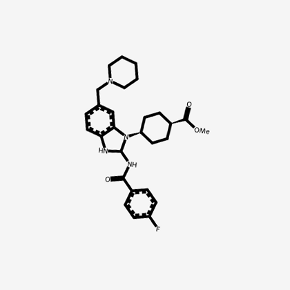 COC(=O)[C@H]1CC[C@@H](N2c3cc(CN4CCCCC4)ccc3NC2NC(=O)c2ccc(F)cc2)CC1